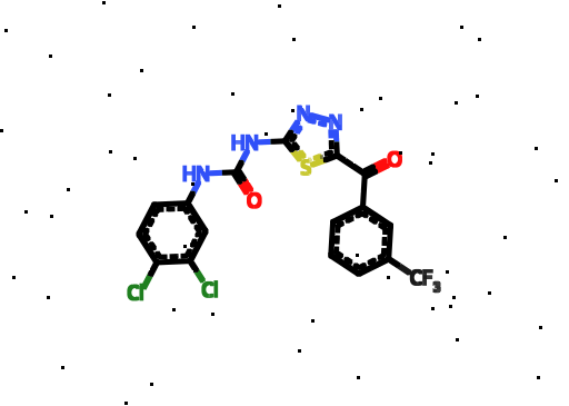 O=C(Nc1ccc(Cl)c(Cl)c1)Nc1nnc(C(=O)c2cccc(C(F)(F)F)c2)s1